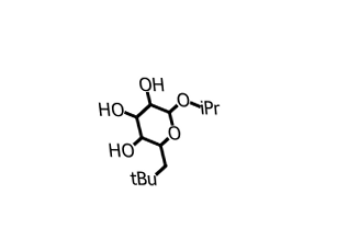 CC(C)OC1OC(CC(C)(C)C)C(O)C(O)C1O